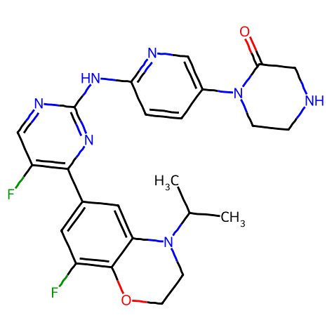 CC(C)N1CCOc2c(F)cc(-c3nc(Nc4ccc(N5CCNCC5=O)cn4)ncc3F)cc21